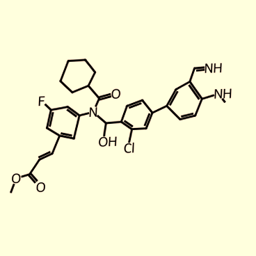 CNc1ccc(-c2ccc(C(O)N(C(=O)C3CCCCC3)c3cc(F)cc(/C=C/C(=O)OC)c3)c(Cl)c2)cc1C=N